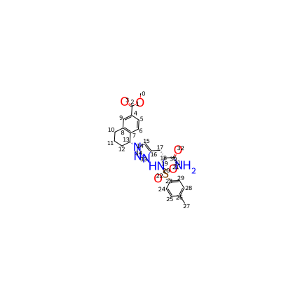 COC(=O)c1ccc2c(c1)CCC[C@H]2n1cc(C[C@@H](NS(=O)(=O)c2ccc(C)cc2)C(N)=O)nn1